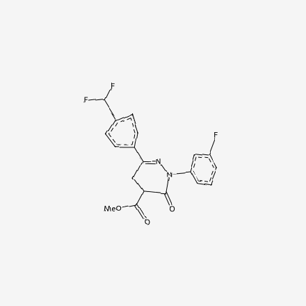 COC(=O)C1CC(c2ccc(C(F)F)cc2)=NN(c2cccc(F)c2)C1=O